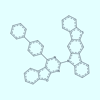 c1ccc(-c2ccc(-c3nc(-n4c5ccccc5c5cc6sc7ccccc7c6cc54)nc4oc5ccccc5c34)cc2)cc1